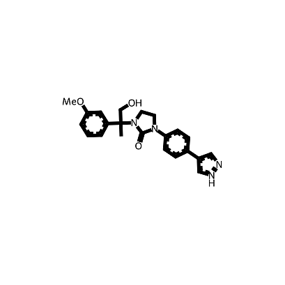 COc1cccc(C(C)(CO)N2CCN(c3ccc(-c4cn[nH]c4)cc3)C2=O)c1